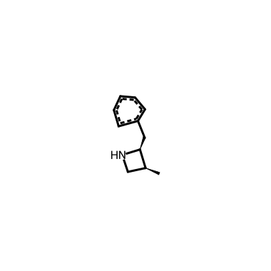 C[C@H]1CN[C@H]1Cc1ccccc1